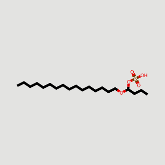 CCCCCCCCCCCCCCCCOC(CCC)OS(=O)(=O)O